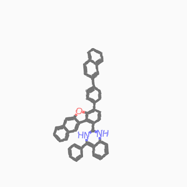 C1=CC2=C(c3ccccc3)NC(c3ccc(-c4ccc(-c5ccc6ccccc6c5)cc4)c4oc5cc6ccccc6cc5c34)NC2C=C1